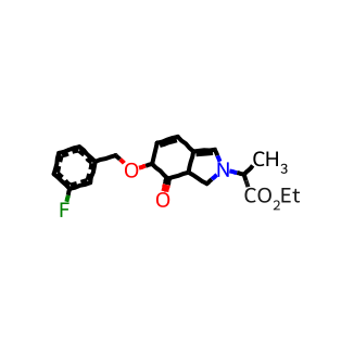 CCOC(=O)C(C)N1C=C2C=CC(OCc3cccc(F)c3)C(=O)C2C1